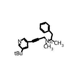 C[C@H](Cc1ccccc1)N(C)CC#Cc1cncc(C(C)(C)C)c1